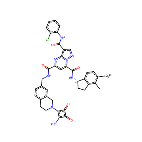 Cc1c(C(=O)O)ccc2c1CC[C@@H]2NC(=O)c1cc(C(=O)NCc2ccc3c(c2)CN(c2c(N)c(=O)c2=O)CC3)nc2c(C(=O)Nc3ccccc3Cl)cnn12